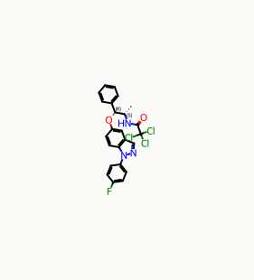 C[C@H](NC(=O)C(Cl)(Cl)Cl)[C@H](Oc1ccc2c(cnn2-c2ccc(F)cc2)c1)c1ccccc1